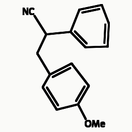 COc1ccc(CC(C#N)c2ccccc2)cc1